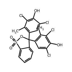 Cc1c(C2(c3cc(Cl)c(O)c(Cl)c3C)OS(=O)(=O)c3ccccc32)cc(Cl)c(O)c1Cl